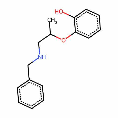 CC(CNCc1ccccc1)Oc1ccccc1O